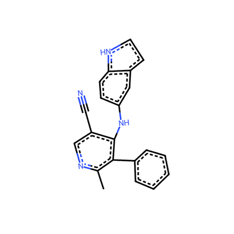 Cc1ncc(C#N)c(Nc2ccc3[nH]ccc3c2)c1-c1ccccc1